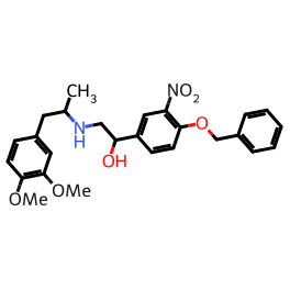 COc1ccc(CC(C)NCC(O)c2ccc(OCc3ccccc3)c([N+](=O)[O-])c2)cc1OC